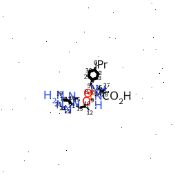 CC(C)c1ccc(CNP(=O)(CO[C@@H](C)Cn2cnc3c(N)ncnc32)NC(C)(C)C(=O)O)cc1